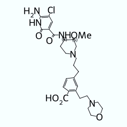 CO[C@H]1CN(CCCc2ccc(C(=O)O)c(CCN3CCOCC3)c2)CC[C@H]1NC(=O)c1cc(Cl)c(N)[nH]c1=O